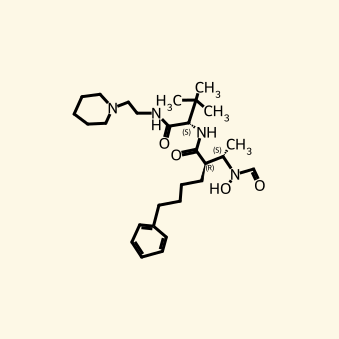 C[C@@H]([C@@H](CCCCc1ccccc1)C(=O)N[C@H](C(=O)NCCN1CCCCC1)C(C)(C)C)N(O)C=O